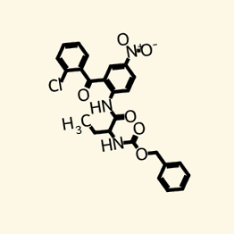 CCC(NC(=O)OCc1ccccc1)C(=O)Nc1ccc([N+](=O)[O-])cc1C(=O)c1ccccc1Cl